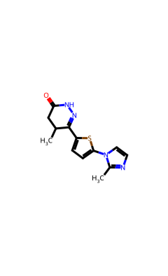 Cc1nccn1-c1ccc(C2=NNC(=O)CC2C)s1